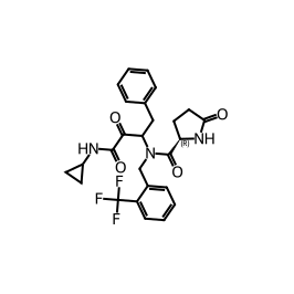 O=C1CC[C@H](C(=O)N(Cc2ccccc2C(F)(F)F)C(Cc2ccccc2)C(=O)C(=O)NC2CC2)N1